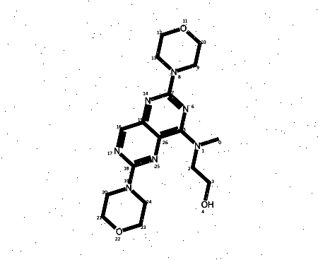 CN(CCO)c1nc(N2CCOCC2)nc2cnc(N3CCOCC3)nc12